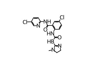 CN1CCN=C1BC(=O)Nc1ccc(Cl)cc1C(=O)Nc1ccc(Cl)cn1